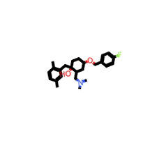 Cc1ccc(C)c(CC2(O)CCC(OCc3ccc(F)cc3)CC2CN(C)C)c1